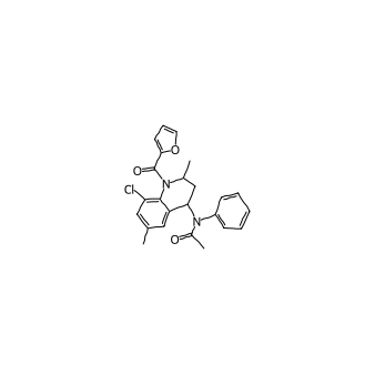 CC(=O)N(c1ccccc1)C1CC(C)N(C(=O)c2ccco2)c2c(Cl)cc(C)cc21